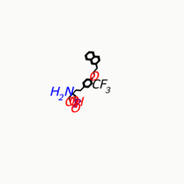 NC(CO)(CCc1ccc(OCCc2ccc3ccccc3c2)c(C(F)(F)F)c1)COP=O